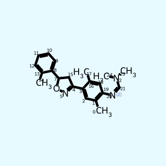 Cc1cc(C2=NOC(c3ccccc3C)C2)c(C)cc1/N=C\N(C)C